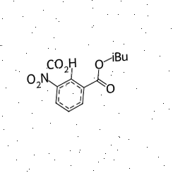 CCC(C)OC(=O)c1cccc([N+](=O)[O-])c1C(=O)O